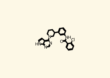 O=C(Nc1cccc(C2CCCN(c3ncnc4[nH]ccc34)C2)c1)c1ccccc1Cl